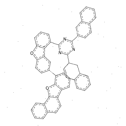 C1=CC(c2nc(-c3ccc4ccccc4c3)nc(-c3cccc4oc5ccc(-c6cccc7c6oc6c8ccccc8ccc76)cc5c34)n2)Cc2ccccc21